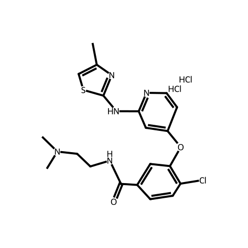 Cc1csc(Nc2cc(Oc3cc(C(=O)NCCN(C)C)ccc3Cl)ccn2)n1.Cl.Cl